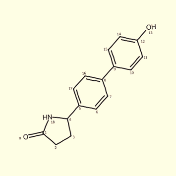 O=C1CCC(c2ccc(-c3ccc(O)cc3)cc2)N1